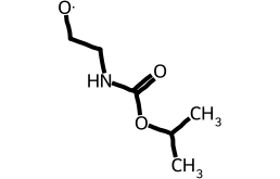 CC(C)OC(=O)NCC[O]